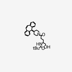 CC(C)(C)C(=O)NC(CO)CCC(=O)N1CCC(=C2c3ccccc3C=Cc3ccccc32)CC1